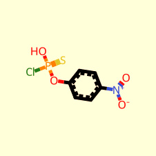 O=[N+]([O-])c1ccc(OP(O)(=S)Cl)cc1